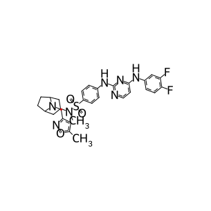 Cc1cc(CN2C3CCC2CC(N(C)S(=O)(=O)c2ccc(Nc4nccc(Nc5ccc(F)c(F)c5)n4)cc2)C3)no1